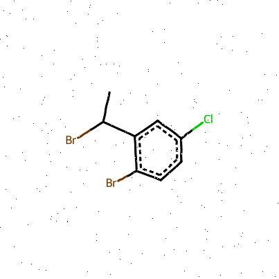 CC(Br)c1cc(Cl)ccc1Br